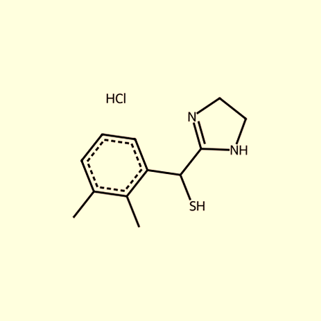 Cc1cccc(C(S)C2=NCCN2)c1C.Cl